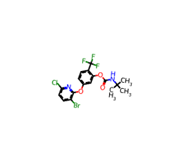 CC(C)(C)NC(=O)Oc1cc(Oc2nc(Cl)ccc2Br)ccc1C(F)(F)F